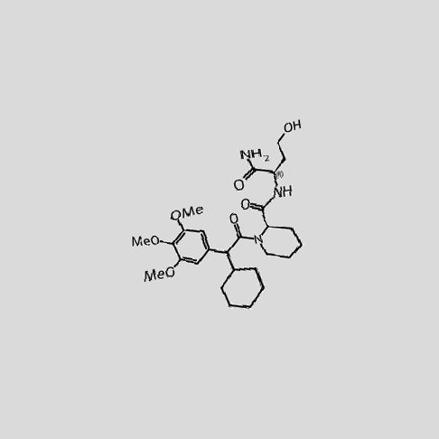 COc1cc(C(C(=O)N2CCCCC2C(=O)N[C@H](CCO)C(N)=O)C2CCCCC2)cc(OC)c1OC